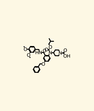 COc1ccc(CNC(=O)c2cc(OCc3ccccc3)ccc2N(C(=O)OCC(C)C)C2CCN(C(=O)O)CC2)cc1OC